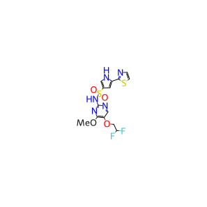 COc1nc(NS(=O)(=O)c2c[nH]c(-c3nccs3)c2)ncc1OCC(F)F